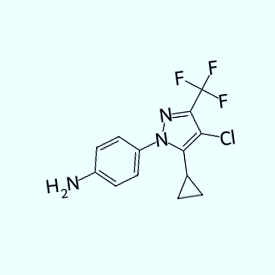 Nc1ccc(-n2nc(C(F)(F)F)c(Cl)c2C2CC2)cc1